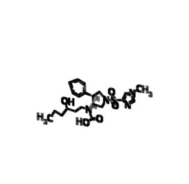 CCCC(O)CCN(C(=O)O)[C@H]1CN(S(=O)(=O)c2cn(C)cn2)C[C@@H]1c1ccccc1